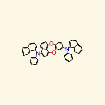 c1ccc(N(c2ccc3c(c2)Oc2ccc(N(c4ccccc4)c4cccc5ccccc45)c4cccc(c24)O3)c2cccc3ccccc23)cc1